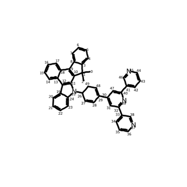 CC1(C)c2ccccc2-c2c1c1c(c3ccccc23)c2ccccc2n1C1C=CC(c2cc(-c3cccnc3)nc(-c3cccnc3)c2)=CC1